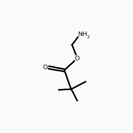 CC(C)(C)C(=O)O[CH]N